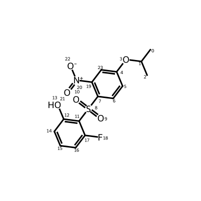 CC(C)Oc1ccc(S(=O)(=O)c2c(O)cccc2F)c([N+](=O)[O-])c1